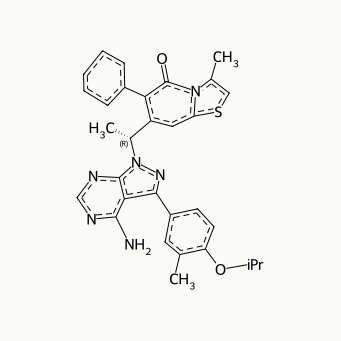 Cc1cc(-c2nn([C@H](C)c3cc4scc(C)n4c(=O)c3-c3ccccc3)c3ncnc(N)c23)ccc1OC(C)C